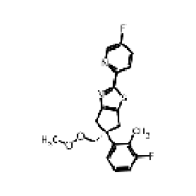 COOC[C@]1(c2cccc(F)c2C)Cc2nc(-c3ccc(F)cn3)sc2C1